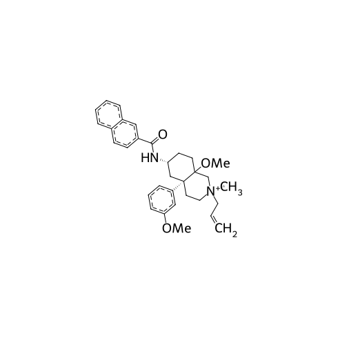 C=CC[N@@+]1(C)CC[C@@]2(c3cccc(OC)c3)C[C@H](NC(=O)c3ccc4ccccc4c3)CCC2(OC)C1